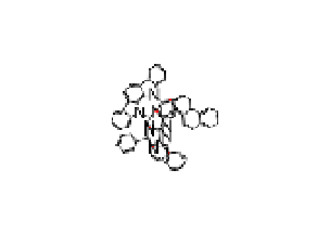 c1ccc(-c2nc(-c3ccccc3)nc(-c3cccc(-n4c5ccccc5c5ccc6c7ccccc7n(-c7nc(-c8ccccc8)nc(-c8cccc9c8ccc8ccccc89)n7)c6c54)c3)n2)cc1